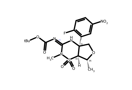 C[C@H]1OC[C@]2(c3cc([N+](=O)[O-])ccc3F)N/C(=N/C(=O)OC(C)(C)C)N(C)S(=O)(=O)[C@H]12